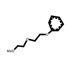 COCCOCCOc1[c]cccc1